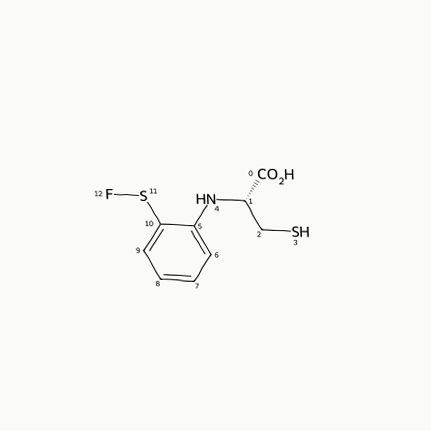 O=C(O)[C@H](CS)Nc1ccccc1SF